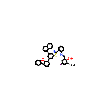 CC(C)(C)c1cc(I)cc(/C=N/c2ccccc2-c2nc3c(-c4cccc5ccccc45)cc(-c4cccc5c4oc4ccccc45)cc3s2)c1O